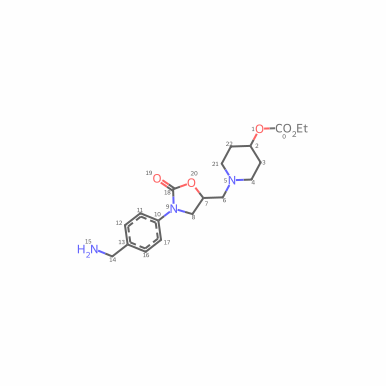 CCOC(=O)OC1CCN(CC2CN(c3ccc(CN)cc3)C(=O)O2)CC1